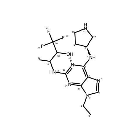 CCn1cnc2c(N[C@H]3CCNC3)nc(NC(C)C(O)C(F)(F)F)nc21